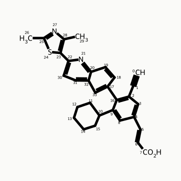 C#Cc1cc(/C=C/C(=O)O)cc(C2CCCCC2)c1-c1ccc2nc(-c3sc(C)nc3C)ccc2c1